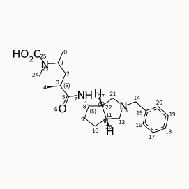 CC(C[C@H](C)C(=O)N[C@H]1CC[C@H]2CN(Cc3ccccc3)C[C@H]21)N(C)C(=O)O